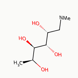 CNC[C@@H](O)[C@H](O)[C@H](O)[C@H](C)O